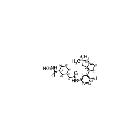 CC1(C)Cc2c(-c3cc(NC(=O)CC4CCCC(C(=O)NC#N)C4)ncc3Cl)cnn2C1